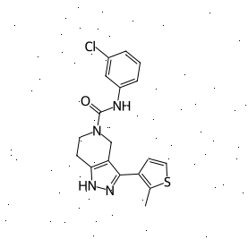 Cc1sccc1-c1n[nH]c2c1CN(C(=O)Nc1cccc(Cl)c1)CC2